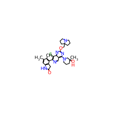 Cc1cc2c(c(-c3ncc4c(N5CCC[C@@](C)(O)C5)nc(OCC56CCCN5CCC6)nc4c3F)c1C)CC(=O)N2